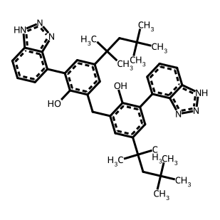 CC(C)(C)CC(C)(C)c1cc(Cc2cc(C(C)(C)CC(C)(C)C)cc(-c3cccc4[nH]nnc34)c2O)c(O)c(-c2cccc3[nH]nnc23)c1